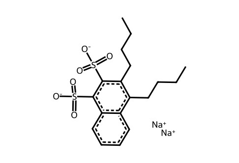 CCCCc1c(S(=O)(=O)[O-])c(S(=O)(=O)[O-])c2ccccc2c1CCCC.[Na+].[Na+]